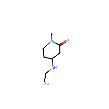 CCC(C)CNC1CCN(C)C(=O)C1